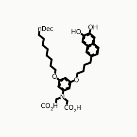 CCCCCCCCCCCCCCCCCCOc1cc(OCCCCc2ccc3cc(O)c(O)cc3c2)cc(N(CC(=O)O)CC(=O)O)c1